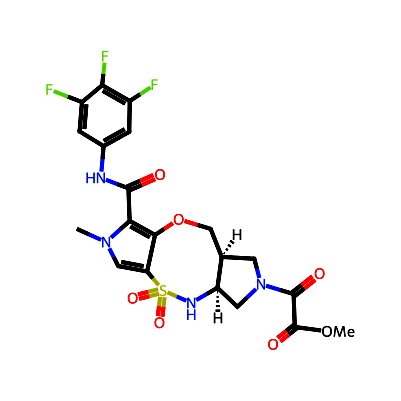 COC(=O)C(=O)N1C[C@@H]2COc3c(cn(C)c3C(=O)Nc3cc(F)c(F)c(F)c3)S(=O)(=O)N[C@@H]2C1